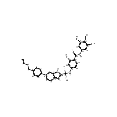 C=CCCc1ccc(-c2ccc3nc(C(F)(F)Oc4ccc(C(=O)Oc5cc(F)c(F)c(F)c5)c(F)c4)sc3c2)cc1